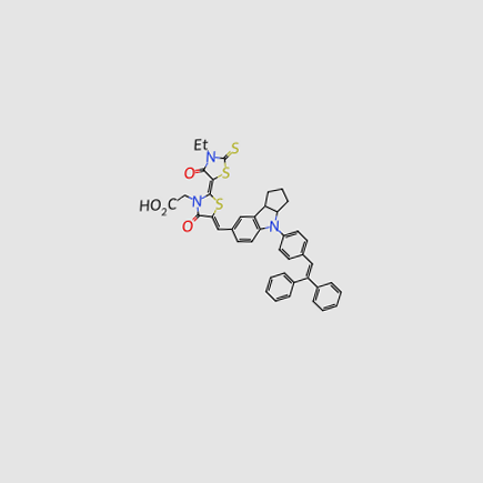 CCN1C(=O)C(=c2sc(=Cc3ccc4c(c3)C3CCCC3N4c3ccc(C=C(c4ccccc4)c4ccccc4)cc3)c(=O)n2CC(=O)O)SC1=S